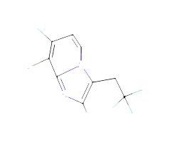 Fc1ccn2c(CC(F)(F)F)c(I)nc2c1Br